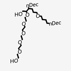 CCCCCCCCCCCCCCOCCCC(CCCCCCCCCC)C(CO)OCCOCCOCCOCCOCCO